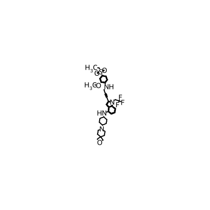 CCS(=O)(=O)c1ccc(NCC#Cc2cc3c(N[C@H]4CC[C@@H](N5CCC6(CC5)COC6)CC4)cccc3n2CC(F)(F)F)c(OC)c1